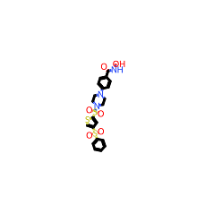 O=C(NO)c1ccc(N2CCN(S(=O)(=O)c3cc(S(=O)(=O)c4ccccc4)cs3)CC2)cc1